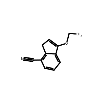 CCOC1=CCc2c(C#N)cccc21